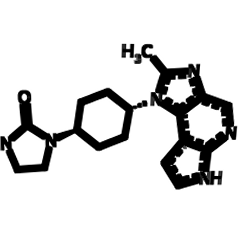 Cc1nc2cnc3[nH]ccc3c2n1[C@H]1CC[C@H](N2CCNC2=O)CC1